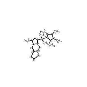 CC1CC([Si](C)(C)C2C(C)C(C)C(C)C2C)C2CC3CCCC3CC12